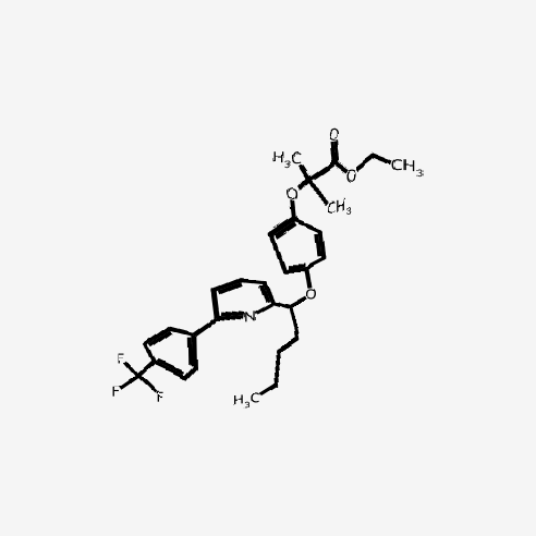 CCCCC(Oc1ccc(OC(C)(C)C(=O)OCC)cc1)c1cccc(-c2ccc(C(F)(F)F)cc2)n1